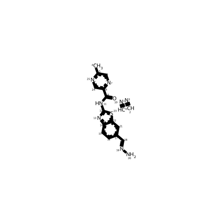 C#N.C#N.Cc1cnc(C(=O)Nc2nc3ccc(C=NN)cc3s2)cn1